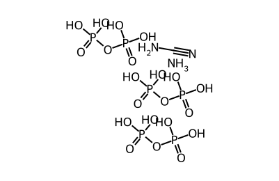 N.N#CN.O=P(O)(O)OP(=O)(O)O.O=P(O)(O)OP(=O)(O)O.O=P(O)(O)OP(=O)(O)O